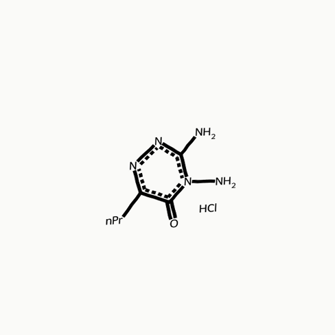 CCCc1nnc(N)n(N)c1=O.Cl